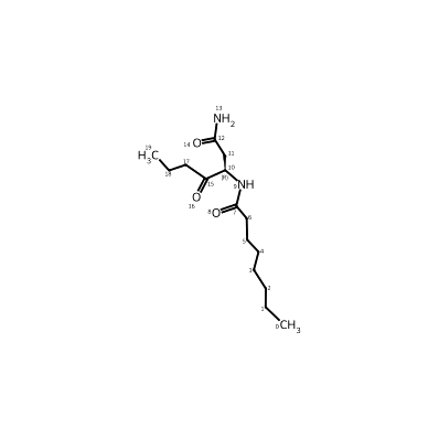 CCCCCCCC(=O)N[C@H](CC(N)=O)C(=O)CCC